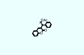 CC(=O)ON=C(c1ccccc1)c1cc2ccccc2oc1=O